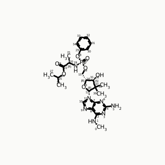 CNc1nc(N)nc2c1ncn2[C@@H]1O[C@H](CO[P@](=O)(N[C@H](C)C(=O)OC(C)C)Oc2ccccc2)[C@@H](O)C1(C)C